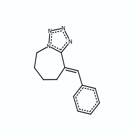 C(=C1CCCCn2nnnc21)c1ccccc1